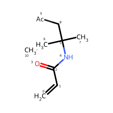 C=CC(=O)NC(C)(C)CC(C)=O.[CH3]